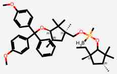 [BH3-][P+](C)(OC[C@@]1(C)C[C@@H](C)[C@@H](OC(c2ccccc2)(c2ccc(OC)cc2)c2ccc(OC)cc2)C1(C)C)OC1C(C)(C)[C@H](C)C[C@]1(C)CC